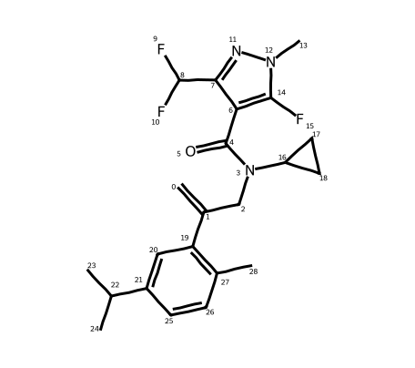 C=C(CN(C(=O)c1c(C(F)F)nn(C)c1F)C1CC1)c1cc(C(C)C)ccc1C